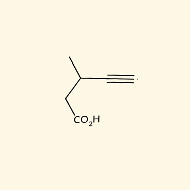 [C]#CC(C)CC(=O)O